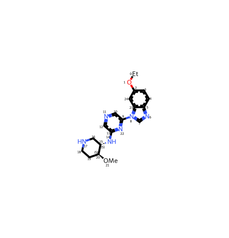 CCOc1ccc2ncn(-c3cncc(N[C@H]4CNCC[C@@H]4OC)n3)c2c1